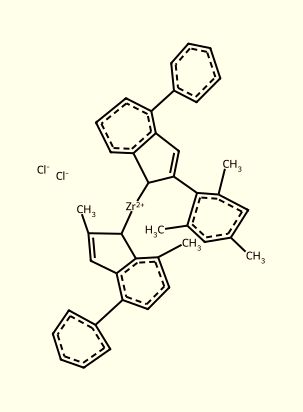 CC1=Cc2c(-c3ccccc3)ccc(C)c2[CH]1[Zr+2][CH]1C(c2c(C)cc(C)cc2C)=Cc2c(-c3ccccc3)cccc21.[Cl-].[Cl-]